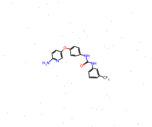 Nc1ccc(Oc2ccc(NC(=O)Nc3cccc(C(F)(F)F)c3)cc2)cn1